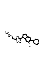 CC(=O)SCCc1noc(C2CCc3cc(C4CCCCC4)c(Cl)cc32)n1